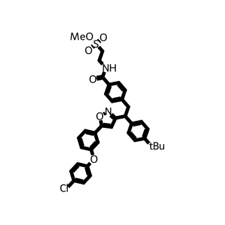 COS(=O)(=O)CCNC(=O)c1ccc(CC(c2ccc(C(C)(C)C)cc2)c2cc(-c3cccc(Oc4ccc(Cl)cc4)c3)on2)cc1